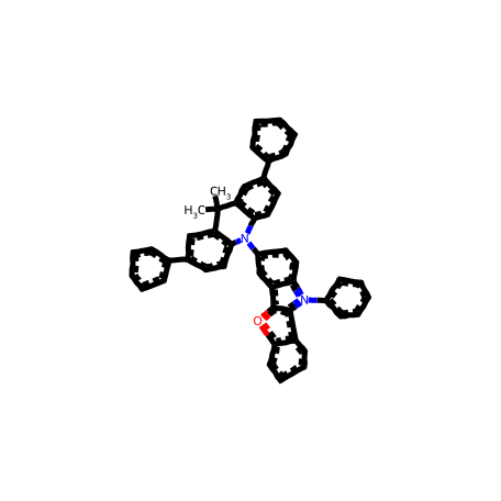 CC1(C)c2cc(-c3ccccc3)ccc2N(c2ccc3c(c2)c2oc4ccccc4c2n3-c2ccccc2)c2ccc(-c3ccccc3)cc21